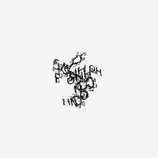 Cc1ccc(-n2nc(C(C)(CF)CF)cc2NC(=O)Nc2cnc(OC3CCNCC3)c3ccccc23)cc1.Cl